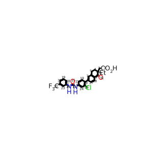 CC[C@]1(CC(=O)O)CCc2cc(-c3ccc(NC(=O)Nc4cccc(C(F)(F)F)c4)cc3Cl)ccc2C1=O